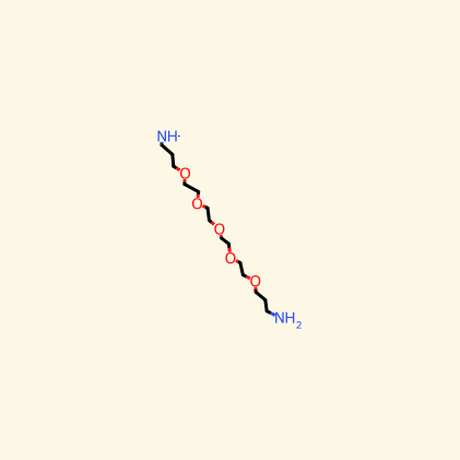 [NH]CCCOCCOCCOCCOCCOCCCN